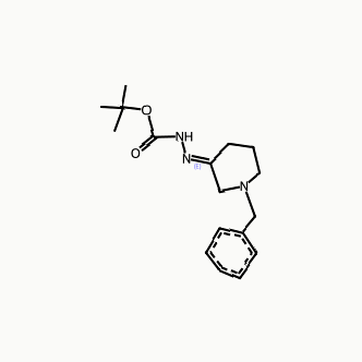 CC(C)(C)OC(=O)N/N=C1\CCCN(Cc2ccccc2)C1